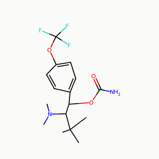 CN(C)C(C(OC(N)=O)c1ccc(OC(F)(F)F)cc1)C(C)(C)C